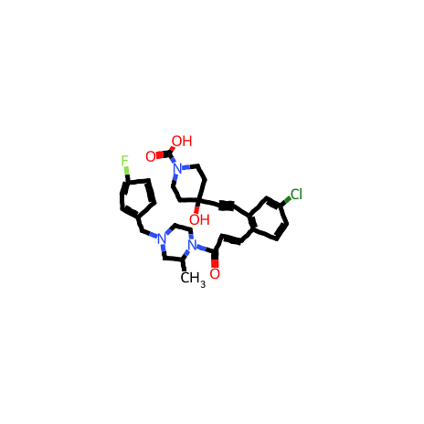 CC1CN(Cc2ccc(F)cc2)CCN1C(=O)C=Cc1ccc(Cl)cc1C#CC1(O)CCN(C(=O)O)CC1